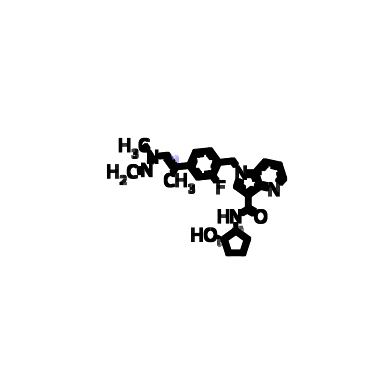 C=NN(C)/C=C(\C)c1ccc(Cn2cc(C(=O)N[C@H]3CCC[C@@H]3O)c3ncccc32)c(F)c1